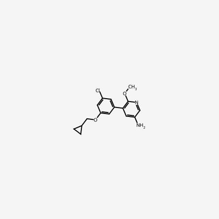 COc1ncc(N)cc1-c1cc(Cl)cc(OCC2CC2)c1